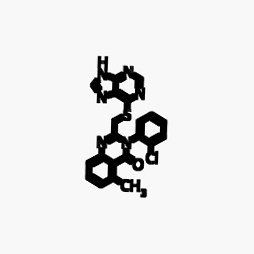 Cc1cccc2nc(CSc3ncnc4[nH]cnc34)n(-c3ccccc3Cl)c(=O)c12